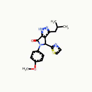 COc1ccc(N2C(=O)c3[nH]nc(CC(C)C)c3C2c2nccs2)cc1